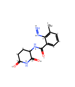 CC(C)(C)c1cccc(C(=O)NC2CCC(=O)NC2=O)c1N=N